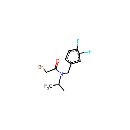 C[C@H](N(Cc1ccc(F)c(F)c1)C(=O)CBr)C(F)(F)F